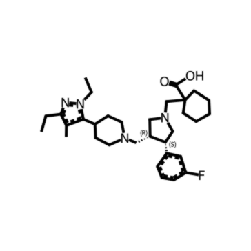 CCc1nn(CC)c(C2CCN(C[C@@H]3CN(CC4(C(=O)O)CCCCC4)C[C@@H]3c3cccc(F)c3)CC2)c1C